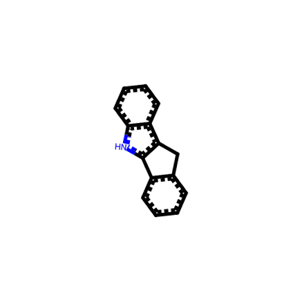 c1ccc2c(c1)Cc1c-2[nH]c2ccccc12